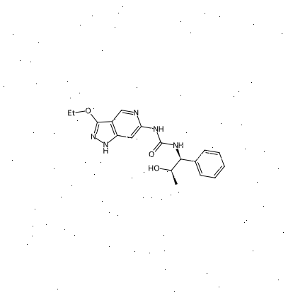 CCOc1n[nH]c2cc(NC(=O)N[C@@H](c3ccccc3)[C@@H](C)O)ncc12